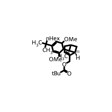 CCCCCCC(C)(C)C1=CC(OC)C([C@@]2(C)C3CC=C(COC(=O)C(C)(C)C)[C@H]2C3)C(OC)=C1